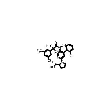 CN(C(=O)C(C)(C)c1cc(C(F)(F)F)cc(C(F)(F)F)c1)c1cnc(N2CCCC2CO)cc1-c1ccccc1Cl